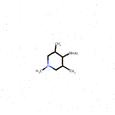 CC(=O)NC1C(C)CN(C)CC1C